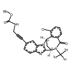 [2H]C([2H])([2H])N1C(=O)c2cccc(Cl)c2[C@H]2C[C@@H]1c1nc3ccc(C#CCNC(=O)OC(C)(C)C)cc3n12